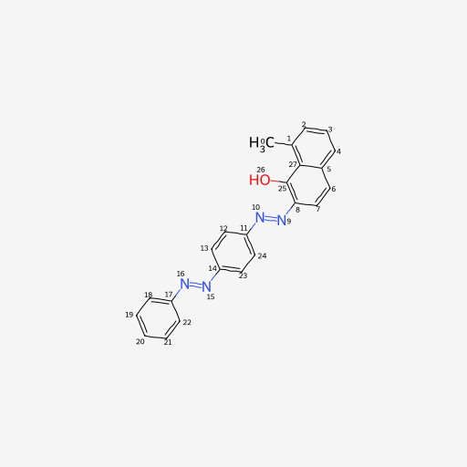 Cc1cccc2ccc(N=Nc3ccc(N=Nc4ccccc4)cc3)c(O)c12